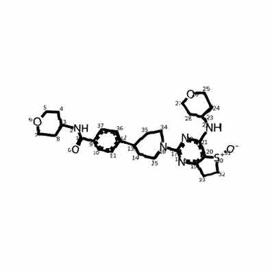 O=C(NC1CCOCC1)c1ccc(C2CCN(c3nc4c(c(NC5CCOCC5)n3)[S+]([O-])CC4)CC2)cc1